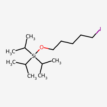 CC(C)[Si](OCCCCCI)(C(C)C)C(C)C